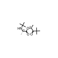 C[C@H](NC(C)(C)C)C(=O)O[C@@H](C)C(=O)C(C)(C)C